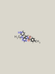 CCN(c1ncnc2c1ccn2S(=O)(=O)c1ccc(C)cc1)C1CCCNC1